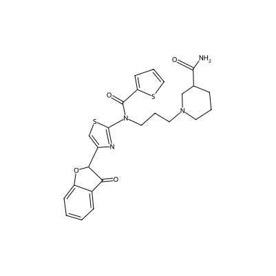 NC(=O)C1CCCN(CCCN(C(=O)c2cccs2)c2nc(C3Oc4ccccc4C3=O)cs2)C1